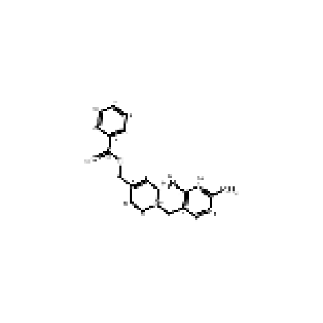 Cc1ncc(CN2CC=C(COC(=O)c3ccccc3)CC2)c(N)n1